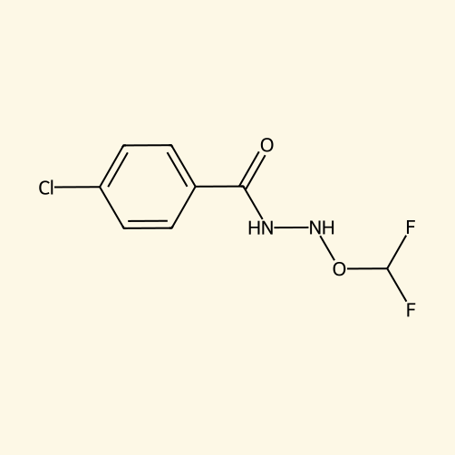 O=C(NNOC(F)F)c1ccc(Cl)cc1